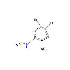 C=CNc1cc(CC)c(CC)cc1[N+](=O)[O-]